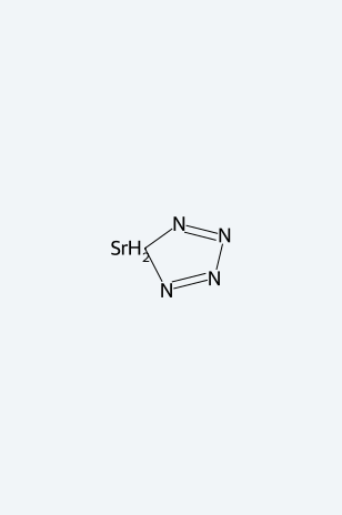 C1N=NN=N1.[SrH2]